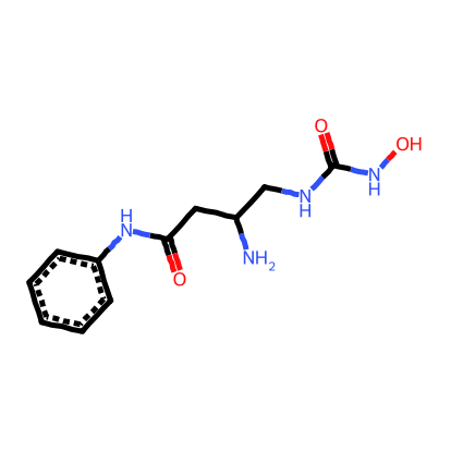 NC(CNC(=O)NO)CC(=O)Nc1ccccc1